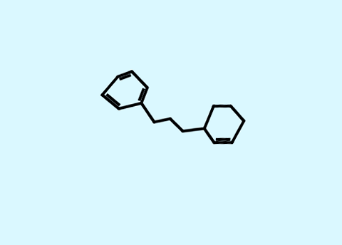 C1=CC(CCCc2ccccc2)CCC1